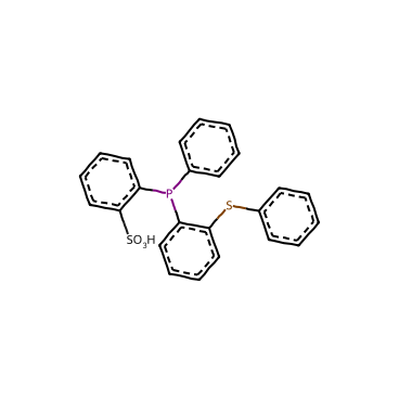 O=S(=O)(O)c1ccccc1P(c1ccccc1)c1ccccc1Sc1ccccc1